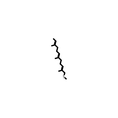 C/C=C(\C)CC/C=C(\C)CC/C=C(\C)CSC